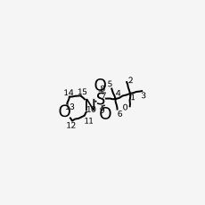 CC(C)(C)C(C)(C)S(=O)(=O)N1CCOCC1